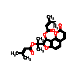 CC(C)=CC(=O)OC1c2c(ccc3ccc(=O)oc23)OC1C(C)(C)OC(=O)C=C(C)C